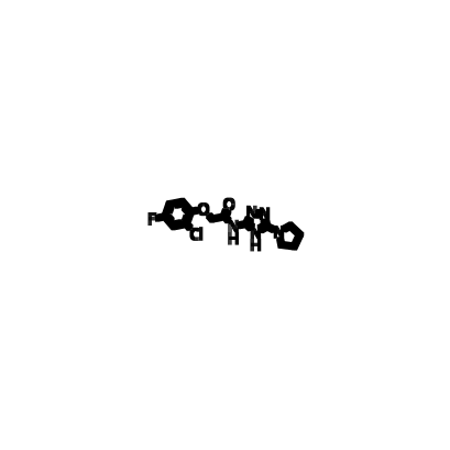 O=C(COc1ccc(F)cc1Cl)Nc1nnc(N2CCCC2)[nH]1